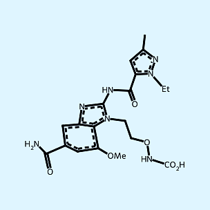 CCn1nc(C)cc1C(=O)Nc1nc2cc(C(N)=O)cc(OC)c2n1CCONC(=O)O